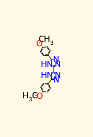 COc1ccc(-c2nnc(-c3nnc(-c4ccc(OC)cc4)[nH]3)[nH]2)cc1